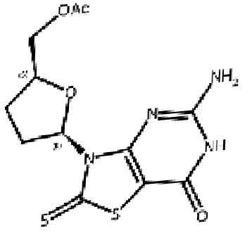 CC(=O)OC[C@@H]1CC[C@H](n2c(=S)sc3c(=O)[nH]c(N)nc32)O1